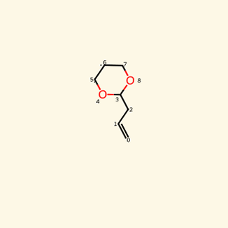 C=CCC1O[CH][CH]CO1